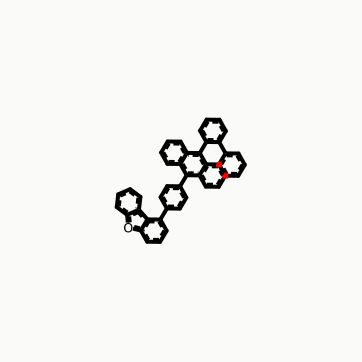 c1ccc(-c2ccccc2-c2c3ccccc3c(-c3ccc(-c4cccc5oc6ccccc6c45)cc3)c3ccccc23)cc1